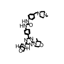 CC1COCCN1c1nc(-c2ccc(NC(=O)Nc3ccc(CN4CCN(C)CC4)cc3)cc2)nc(N2C[C@@H]3C[C@H]2CO3)n1